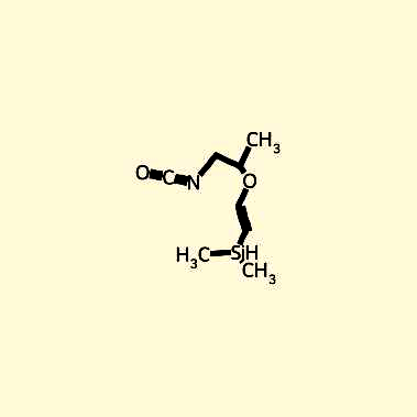 CC(CN=C=O)OC=C[SiH](C)C